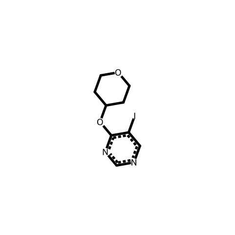 Ic1cncnc1OC1CCOCC1